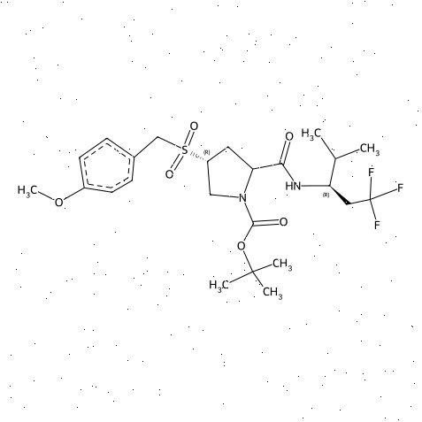 COc1ccc(CS(=O)(=O)[C@@H]2CC(C(=O)N[C@H](CC(F)(F)F)C(C)C)N(C(=O)OC(C)(C)C)C2)cc1